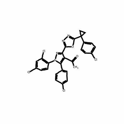 CC(=O)c1c(-c2nnc(C3(c4ccc(Cl)cc4)CC3)o2)nn(-c2ccc(Cl)cc2Cl)c1-c1ccc(Cl)cc1